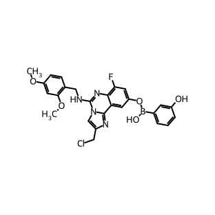 COc1ccc(CNc2nc3c(F)cc(OB(O)c4cccc(O)c4)cc3c3nc(CCl)cn23)c(OC)c1